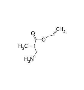 C=CCOC(=O)[C@@H](C)CN